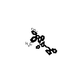 Cc1ccc(C(=Cc2ccc(N(c3ccccc3)c3ccc(/C=C/C=C(c4ccccc4)c4ccccc4)cc3)c3ccccc23)c2ccc(C)cc2)cc1